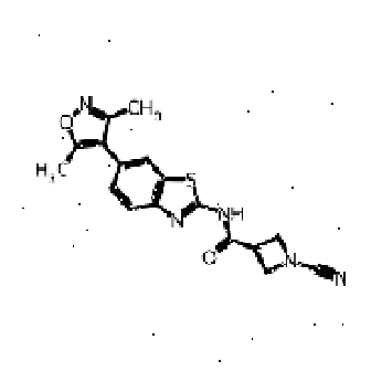 Cc1noc(C)c1-c1ccc2nc(NC(=O)C3CN(C#N)C3)sc2c1